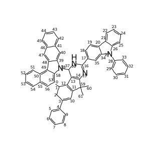 CC1CC(c2ccccc2)=CC2=C1C1=C(N=C(c3ccc4c5ccccc5n(-c5ccccc5)c4c3)NC1n1c3cc4ccccc4cc3c3c4ccccc4ccc31)C2(C)C